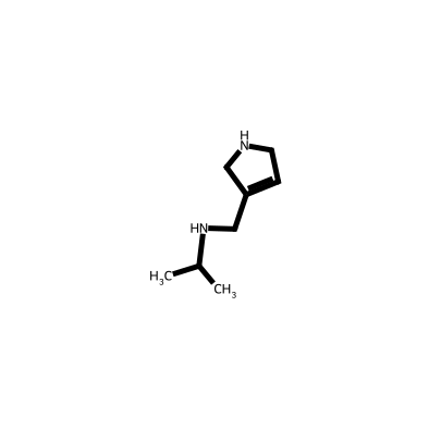 CC(C)NCC1=CCNC1